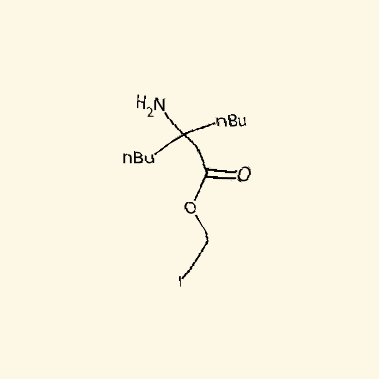 CCCCC(N)(CCCC)C(=O)OCI